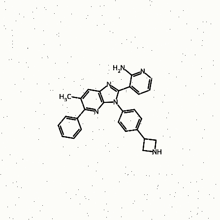 Cc1cc2nc(-c3cccnc3N)n(-c3ccc(C4CNC4)cc3)c2nc1-c1ccccc1